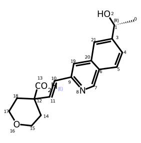 C[C@@H](O)c1ccc2cnc(/C=C/C3(C(=O)O)CCOCC3)cc2c1